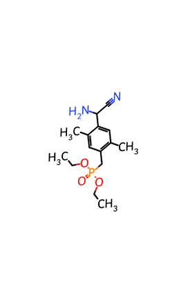 CCOP(=O)(Cc1cc(C)c(C(N)C#N)cc1C)OCC